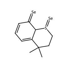 CC1(C)CCS(=[Se])C2C(=[Se])C=CC=C21